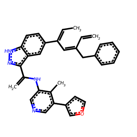 C=C/C(=C\C(=C/C)c1ccc2[nH]nc(C(=C)Nc3cncc(-c4ccoc4)c3C)c2c1)Cc1ccccc1